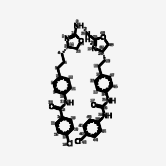 NC1=N[C@@H](CCCc2ccc(NC(=O)c3ccc(Cl)cc3)cc2)CO1.NC1=N[C@@H](CCc2ccc(NC(=O)Nc3ccc(Cl)cc3)cc2)CO1